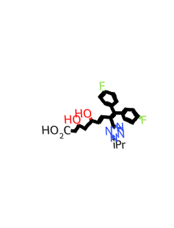 CC(C)n1nnc(C(/C=C/C(O)CC(O)CC(=O)O)=C(c2ccc(F)cc2)c2ccc(F)cc2)n1